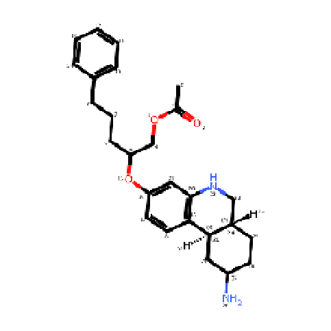 CC(=O)OCC(CCCc1ccccc1)Oc1ccc2c(c1)NC[C@@H]1CCC(N)C[C@@H]21